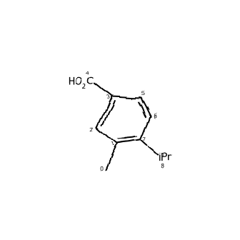 Cc1cc(C(=O)O)ccc1C(C)C